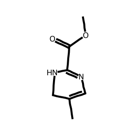 COC(=O)C1=NC=C(C)CN1